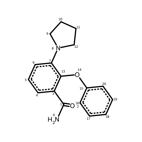 NC(=O)c1cccc(N2CCCC2)c1Oc1ccccc1